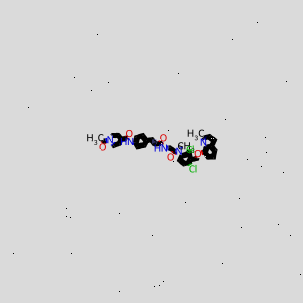 CC(=O)N1CCC(C(=O)Nc2ccc(/C=C/C(=O)NCC(=O)N(C)c3ccc(Cl)c(COc4cccc5ccc(C)nc45)c3Cl)cc2)CC1